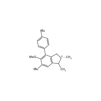 COc1c(C(C)(C)C)cc2c(c1-c1ccc(C(C)(C)C)cc1)C[C@H](C)C2C